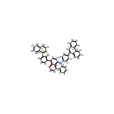 c1ccc(-c2ccccc2N(c2ccc(-c3cc4ccccc4c4ccccc34)cc2)c2ccc(-c3cccc4c3sc3ccc5ccccc5c34)cc2)cc1